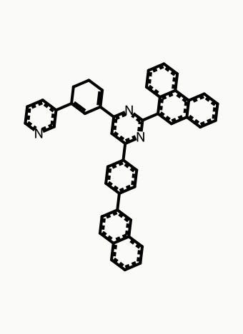 C1=C(c2cccnc2)CCC=C1c1cc(-c2ccc(-c3ccc4ccccc4c3)cc2)nc(-c2cc3ccccc3c3ccccc23)n1